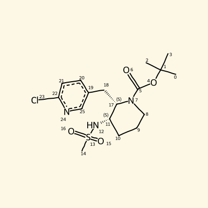 CC(C)(C)OC(=O)N1CCC[C@H](NS(C)(=O)=O)[C@@H]1Cc1ccc(Cl)nc1